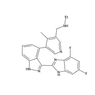 CCNCc1cncc(-c2cccc3[nH]nc(-c4nc5c(F)cc(F)cc5[nH]4)c23)c1C